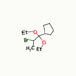 CCOC(OCC)(C(C)Br)C1CCCC1